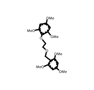 COc1cc(OC)c(COCCOc2c(OC)cc(OC)cc2OC)c(OC)c1